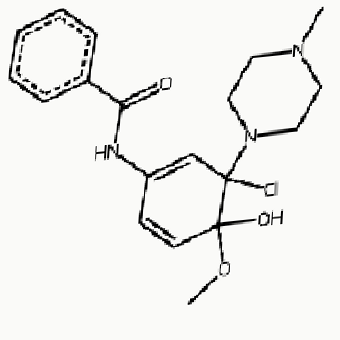 COC1(O)C=CC(NC(=O)c2ccccc2)=CC1(Cl)N1CCN(C)CC1